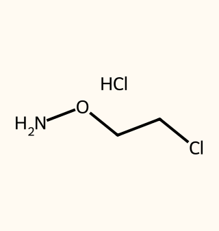 Cl.NOCCCl